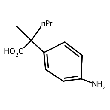 CCCC(C)(C(=O)O)c1ccc(N)cc1